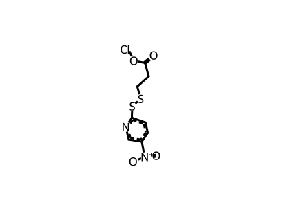 O=C(CCSSc1ccc([N+](=O)[O-])cn1)OCl